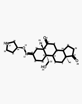 C[C@]12CCC3C(CC(=O)[C@H]4CC(=NO[C@H]5CCNC5)CC[C@]34CO)C1CCC2=O